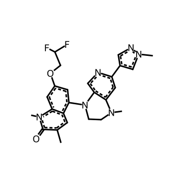 Cc1cc2c(N3CCN(C)c4cc(-c5cnn(C)c5)ncc43)cc(OCC(F)F)cc2n(C)c1=O